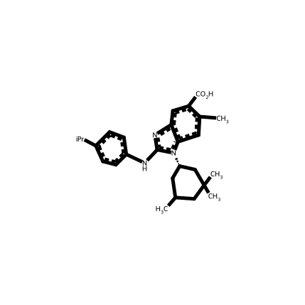 Cc1cc2c(cc1C(=O)O)nc(Nc1ccc(C(C)C)cc1)n2[C@H]1CC(C)CC(C)(C)C1